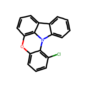 Clc1cccc2c1-n1c3ccccc3c3cccc(c31)O2